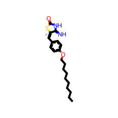 CCCCCCCCCCOc1ccc(/C=C2/SC(=O)NC2=N)cc1